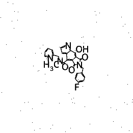 CN(Cc1ccccn1)C(=O)c1c2c(c(O)c3ncccc13)C(=O)N(Cc1ccc(F)cc1)C2=O